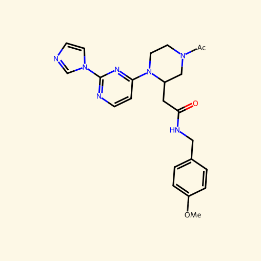 COc1ccc(CNC(=O)CC2CN(C(C)=O)CCN2c2ccnc(-n3ccnc3)n2)cc1